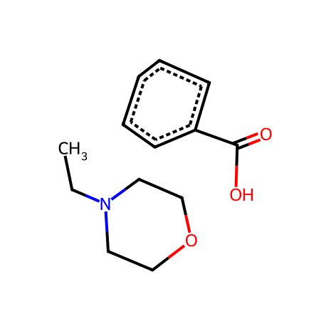 CCN1CCOCC1.O=C(O)c1ccccc1